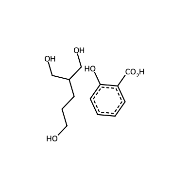 O=C(O)c1ccccc1O.OCCCC(CO)CO